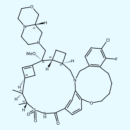 CO[C@@]1(CN2CCN3CCOC[C@@H]3C2)C2=C[C@@H](C2)[C@H](C)[C@@H](C)S(=O)(=O)NC(=O)c2ccc3c(c2)N(Cc2ccc(Cl)c(F)c2CCCCO3)C[C@@H]2CC[C@H]21